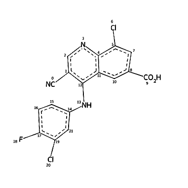 N#Cc1cnc2c(Cl)cc(C(=O)O)cc2c1Nc1ccc(F)c(Cl)c1